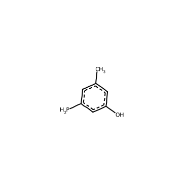 Cc1cc(O)cc(P)c1